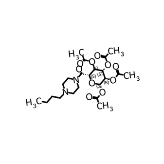 CCCCN1CCN(C(=O)[C@H]2O[C@@H](OC(C)=O)[C@H](OC(C)=O)[C@@H](OC(C)=O)[C@@H]2OC(C)=O)CC1